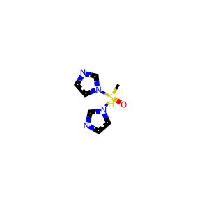 C[SH](=O)(n1ccnc1)n1ccnc1